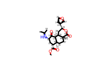 COC(=O)[C@@H]1C[C@@H](NC(C)C)C(=O)C2[C@@]1(C)CC[C@H]1C(=O)O[C@H](c3ccoc3)C[C@]21C